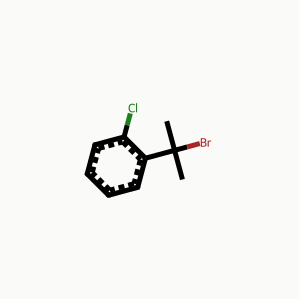 CC(C)(Br)c1ccccc1Cl